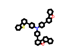 c1ccc2c(c1)ccc1c2oc2cccc(-c3ccc(N(c4ccc(-c5ccc6oc7ccccc7c6c5)cc4)c4ccc(-c5cccc6c5sc5ccccc56)cc4)cc3)c21